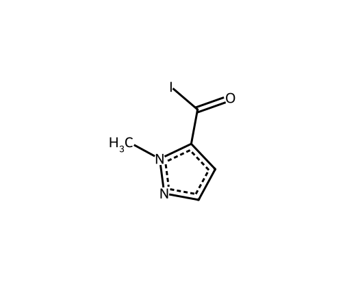 Cn1nccc1C(=O)I